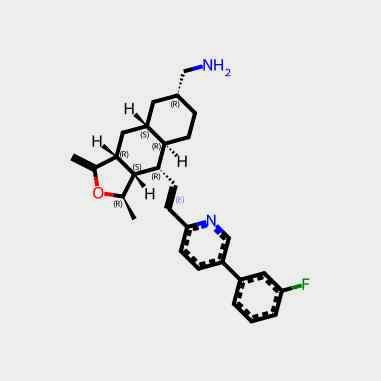 C=C1O[C@H](C)[C@H]2[C@@H](/C=C/c3ccc(-c4cccc(F)c4)cn3)[C@@H]3CC[C@@H](CN)C[C@H]3C[C@@H]12